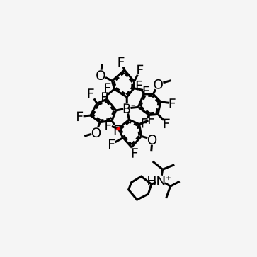 CC(C)[NH+](C(C)C)C1CCCCC1.COc1c(F)c(F)c(F)c([B-](c2c(F)c(F)c(F)c(OC)c2F)(c2c(F)c(F)c(F)c(OC)c2F)c2c(F)c(F)c(F)c(OC)c2F)c1F